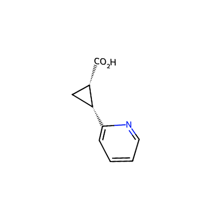 O=C(O)[C@H]1C[C@H]1c1ccccn1